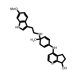 COc1ccc2c(CCNC3(C)C=CC(Nc4ccnc5c4CCC5O)=CC3)c[nH]c2c1